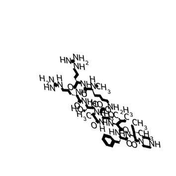 CC[C@H](C)[C@H](NC(=O)[C@H](CC(=O)O)NC(=O)[C@H](C)NC(=O)[C@H](CO)NC(=O)[C@H](CCCNC(=N)N)NC(=O)[C@H](CCCNC(=N)N)NC(=O)[C@H](CCCCN)NC)C(=O)N[C@@H](Cc1ccccc1)C(=O)N[C@H](C(=O)N1CCNCC1)[C@@H](C)CC